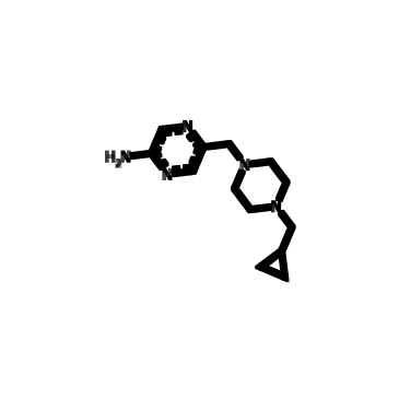 Nc1cnc(CN2CCN(CC3CC3)CC2)cn1